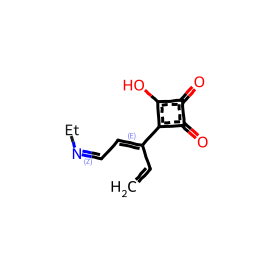 C=C/C(=C\C=N/CC)c1c(O)c(=O)c1=O